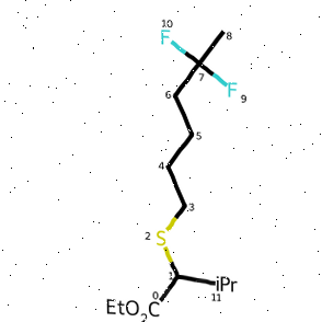 CCOC(=O)C(SCCCCC(C)(F)F)C(C)C